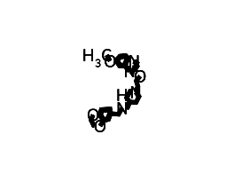 COc1ccc2ncc(OCCN3CCC(CNCc4ccc5c(c4)OCCO5)CC3)nc2c1